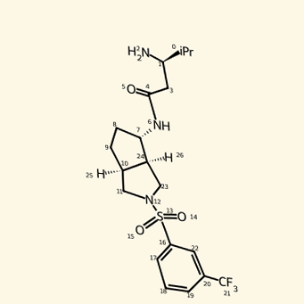 CC(C)[C@H](N)CC(=O)N[C@H]1CC[C@@H]2CN(S(=O)(=O)c3cccc(C(F)(F)F)c3)C[C@@H]21